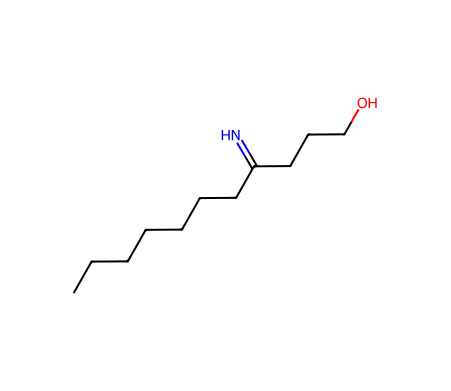 CCCCCCCC(=N)CCCO